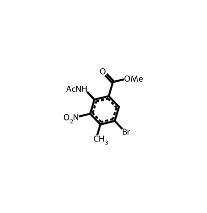 COC(=O)c1cc(Br)c(C)c([N+](=O)[O-])c1NC(C)=O